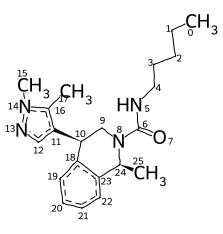 CCCCCNC(=O)N1C[C@H](c2cnn(C)c2C)c2ccccc2[C@@H]1C